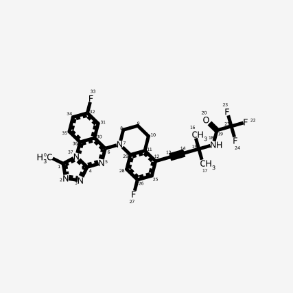 Cc1nnc2nc(N3CCCc4c(C#CC(C)(C)NC(=O)C(F)(F)F)cc(F)cc43)c3cc(F)ccc3n12